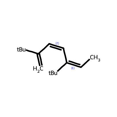 C=C(/C=C\C(=C/C)C(C)(C)C)C(C)(C)C